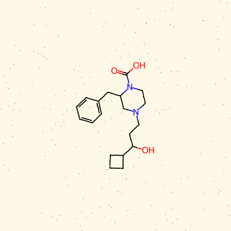 O=C(O)N1CCN(CCC(O)C2CCC2)CC1Cc1ccccc1